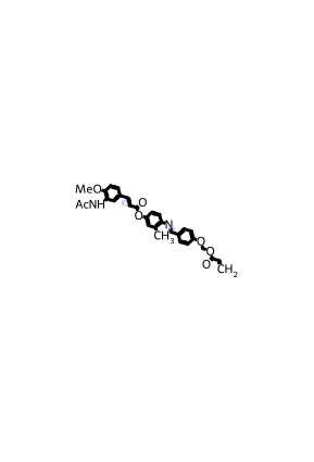 C=CC(=O)OCOc1ccc(/C=N/c2ccc(OC(=O)/C=C/c3ccc(OC)c(NC(C)=O)c3)cc2C)cc1